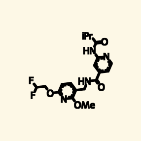 COc1nc(OCC(F)F)ccc1CNC(=O)c1ccnc(NC(=O)C(C)C)c1